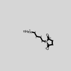 CCCCCCCCCCN1C(=O)CCC1=O